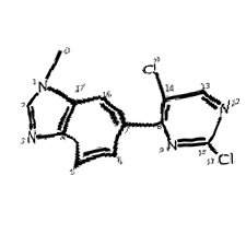 Cn1cnc2ccc(-c3nc(Cl)ncc3Cl)cc21